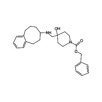 O=C(OCc1ccccc1)N1CCC(O)(CNC2CCCc3ccccc3CC2)CC1